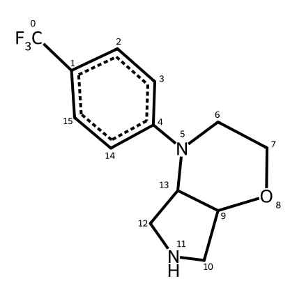 FC(F)(F)c1ccc(N2CCOC3CNCC32)cc1